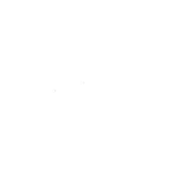 CC/C=C(/C=C\C=C\c1ccc(N(C)C)cc1)\C=C(\C)O